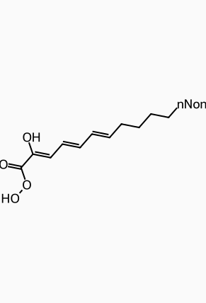 CCCCCCCCCCCCCC=CC=CC=C(O)C(=O)OO